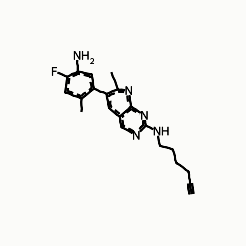 C#CCCCCNc1ncc2cc(-c3cc(N)c(F)cc3C)c(C)nc2n1